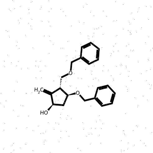 C=C1[C@H](O)C[C@H](OCc2ccccc2)[C@H]1COCc1ccccc1